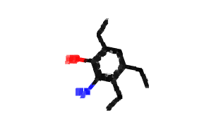 CCc1cc(CC)c(CC)c(N)c1O